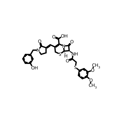 COc1ccc(SCC(=O)N[C@@H]2C(=O)N3C(C(=O)O)=C(C=C4CCN(Cc5cccc(O)c5)C4=O)CS[C@H]23)cc1OC